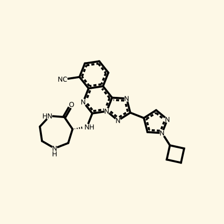 N#Cc1cccc2c1nc(N[C@@H]1CNCCNC1=O)n1nc(-c3cnn(C4CCC4)c3)nc21